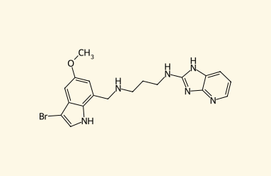 COc1cc(CNCCCNc2nc3ncccc3[nH]2)c2[nH]cc(Br)c2c1